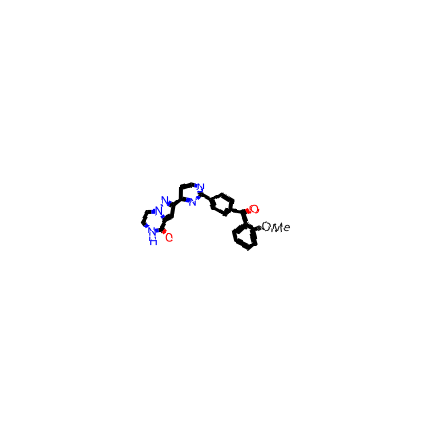 COc1ccccc1C(=O)c1ccc(-c2nccc(-c3cc4n(n3)CCNC4=O)n2)cc1